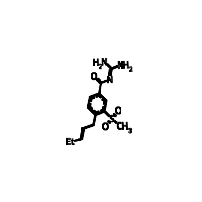 CCC=CCc1ccc(C(=O)N=C(N)N)cc1S(C)(=O)=O